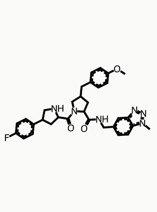 COc1ccc(CC2CC(C(=O)NCc3ccc4c(c3)nnn4C)N(C(=O)C3CC(c4ccc(F)cc4)CN3)C2)cc1